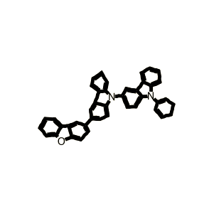 C1=CC(n2c3ccccc3c3cc(-n4c5ccccc5c5cc(-c6ccc7oc8ccccc8c7c6)ccc54)ccc32)=CCC1